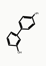 CCCc1ccc(-c2cccc(O)c2)cc1